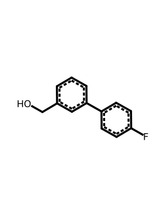 OCc1cccc(-c2ccc(F)cc2)c1